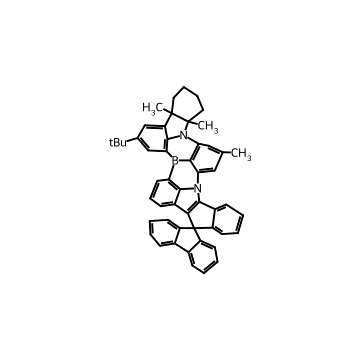 Cc1cc2c3c(c1)-n1c4c(c5cccc(c51)B3c1cc(C(C)(C)C)cc3c1N2C1(C)CCCCC31C)C1(c2ccccc2-c2ccccc21)c1ccccc1-4